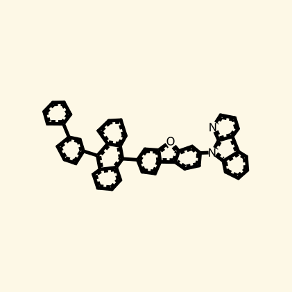 c1ccc(-c2cccc(-c3c4ccccc4c(-c4ccc5c(c4)oc4cc(-n6c7ccccc7c7cccnc76)ccc45)c4ccccc34)c2)cc1